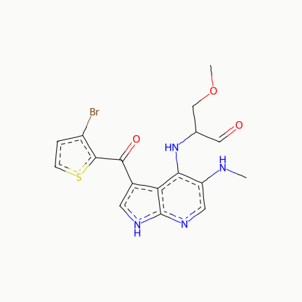 CNc1cnc2[nH]cc(C(=O)c3sccc3Br)c2c1NC(C=O)COC